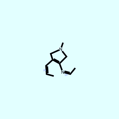 C/C=C\C1=C(/N=C\C)CN(C)C1